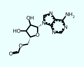 Nc1ncnc2c1ncn2[C@@H]1O[C@H](COC=O)C(O)C1O